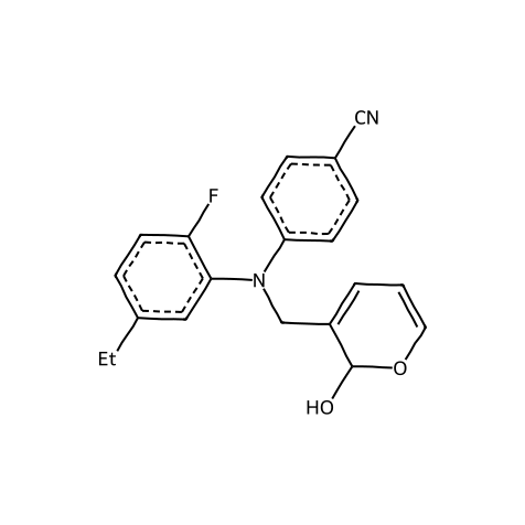 CCc1ccc(F)c(N(CC2=CC=COC2O)c2ccc(C#N)cc2)c1